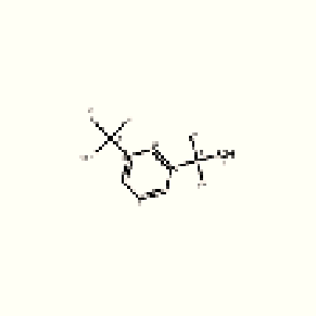 CC(C)(O)c1c[c]cc(C(F)(F)F)c1